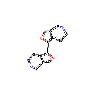 [c]1oc(-c2occ3cnccc23)c2ccncc12